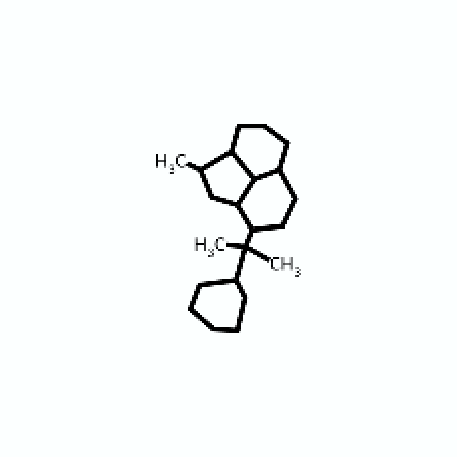 CC1CC2C3C(CCCC13)CCC2C(C)(C)C1CCCCC1